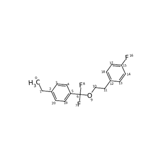 CCc1ccc(C(F)(F)OCCc2ccc(F)cc2)cc1